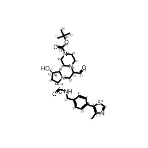 Cc1ncsc1-c1ccc(CNC(=O)[C@@H]2C[C@@H](O)CN2CC(C=O)N2CCN(C(=O)OC(C)(C)C)CC2)cc1